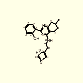 CC1CCc2c(nc(-c3ccccc3O)nc2NCCc2cnc[nH]2)C1